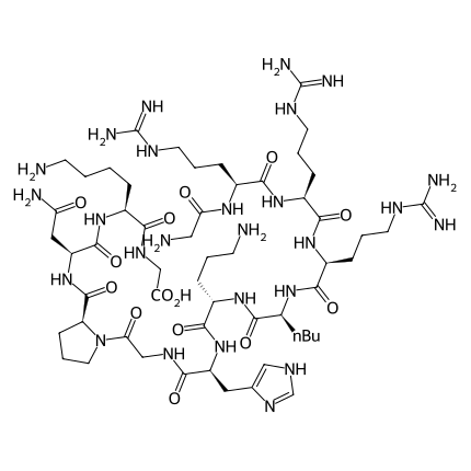 CCCC[C@H](NC(=O)[C@H](CCCNC(=N)N)NC(=O)[C@H](CCCNC(=N)N)NC(=O)[C@H](CCCNC(=N)N)NC(=O)CN)C(=O)N[C@@H](CCCN)C(=O)N[C@@H](Cc1c[nH]cn1)C(=O)NCC(=O)N1CCC[C@H]1C(=O)N[C@@H](CC(N)=O)C(=O)N[C@@H](CCCCN)C(=O)NCC(=O)O